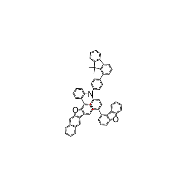 CC1(C)c2ccccc2-c2cccc(-c3ccc(N(c4ccc(-c5cccc6oc7ccccc7c56)cc4)c4ccccc4-c4cccc5c4oc4cc6ccccc6cc45)cc3)c21